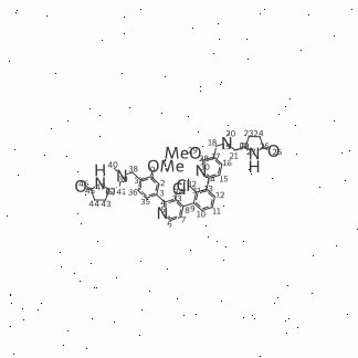 COc1cc(-c2nccc(-c3cccc(-c4ccc(CN(C)C[C@H]5CCC(=O)N5)c(OC)n4)c3Cl)c2Cl)ccc1CN(C)C[C@@H]1CCC(=O)N1